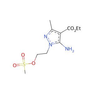 CCOC(=O)c1c(C)nn(CCOS(C)(=O)=O)c1N